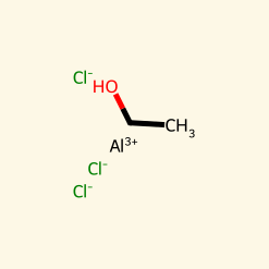 CCO.[Al+3].[Cl-].[Cl-].[Cl-]